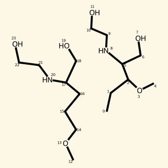 CCC(OC)C(CO)NCCO.COCCCC(CO)NCCO